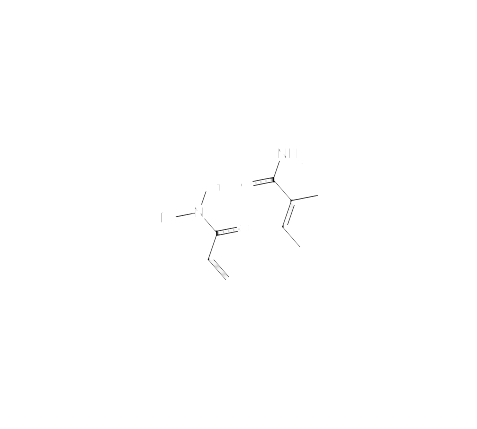 C/C=C(\C)C(N)=O.C=CC(=O)N(C(C)C)C(C)C